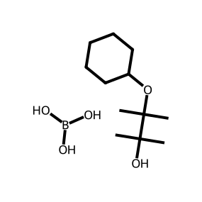 CC(C)(O)C(C)(C)OC1CCCCC1.OB(O)O